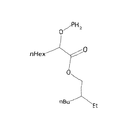 CCCCCCC(OP)C(=O)OCC(CC)CCCC